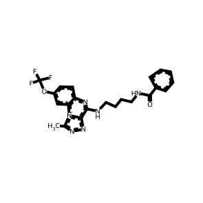 Cc1nnc2c(NCCCCNC(=O)c3ccccc3)nc3ccc(OC(F)(F)F)cc3n12